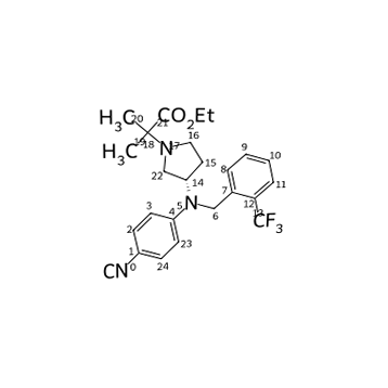 [C-]#[N+]c1ccc(N(Cc2ccccc2C(F)(F)F)[C@H]2CCN(C(C)(C)C(=O)OCC)C2)cc1